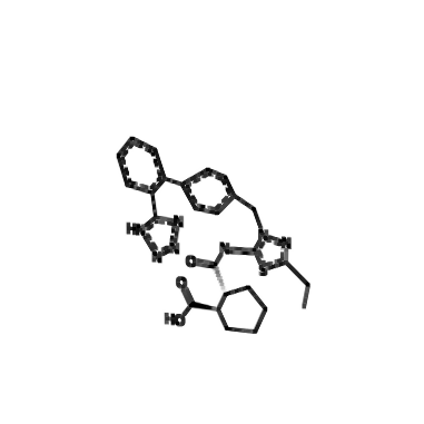 CCc1nn(Cc2ccc(-c3ccccc3-c3nnn[nH]3)cc2)c(=NC(=O)[C@@H]2CCCC[C@H]2C(=O)O)s1